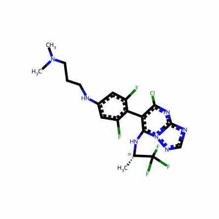 C[C@H](Nc1c(-c2c(F)cc(NCCCN(C)C)cc2F)c(Cl)nc2ncnn12)C(F)(F)F